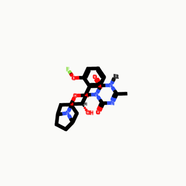 CCn1c(C)nc(=O)n(C[C@H](O)CN2C3CCC2CC(OCc2ccccc2OF)C3)c1=O